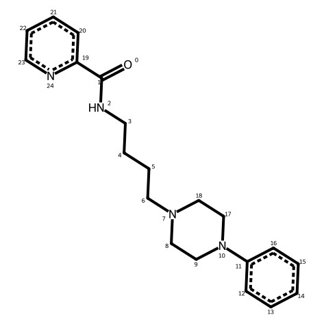 O=C(NCCCCN1CCN(c2ccccc2)CC1)c1ccccn1